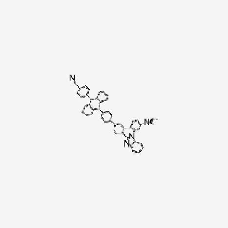 [C-]#[N+]c1ccc2c3cc(-c4ccc(-c5c6ccccc6c(-c6ccc(C#N)cc6)c6ccccc56)cc4)ccc3c3nc4ccccc4n3c2c1